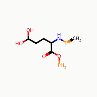 C=PNC(CCC(O)O)C(=O)OP